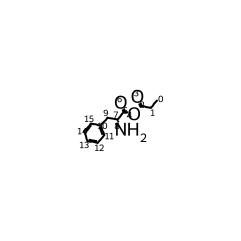 CCC(=O)OC(=O)[C@@H](N)Cc1ccccc1